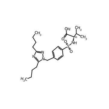 CCCCc1nc(CCCC)n(Cc2ccc(S(=O)(=O)N[C@@H](C(=O)O)C(C)C)cc2)n1